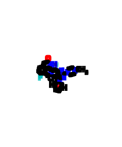 C#Cc1c(F)ccc2cc(=O)[nH]c(-c3ncc4c(N5C[C@H]6CC[C@@H](C5)O6)nc(N5CCN(C)CC5)nc4c3F)c12